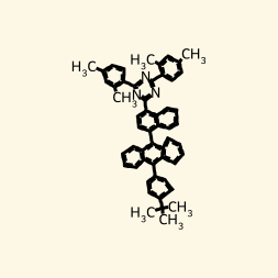 Cc1ccc(-c2nc(-c3ccc(C)cc3C)nc(-c3ccc(-c4c5ccccc5c(-c5ccc(C(C)(C)C)cc5)c5ccccc45)c4ccccc34)n2)c(C)c1